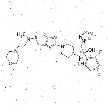 C[C@@H](N1CCN(c2nc3ccc(N(C)CCN4CCOCC4)cc3s2)CC1)[C@](O)(Cn1cncn1)c1ccc(F)cc1F